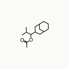 CC(=O)OC(C(C)C)C1CC2CCCC(C2)C1